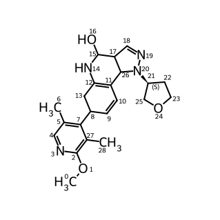 COc1ncc(C)c(C2C=CC3=C(C2)NC(O)C2C=NN([C@H]4CCOC4)C32)c1C